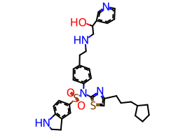 O=S(=O)(c1ccc2c(c1)CCN2)N(c1ccc(CCNCC(O)c2cccnc2)cc1)c1nc(CCCC2CCCC2)cs1